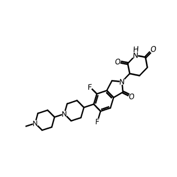 CN1CCC(N2CCC(c3c(F)cc4c(c3F)CN(C3CCC(=O)NC3=O)C4=O)CC2)CC1